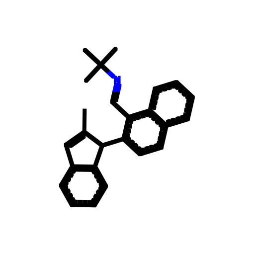 CC1=Cc2ccccc2C1c1ccc2ccccc2c1/C=N/C(C)(C)C